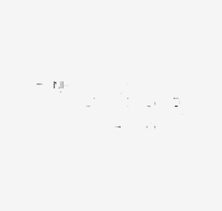 CNCc1ccc2c(c1)CCC21OCCO1